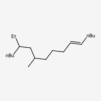 [CH2]CCCC=CCCCC(C)CC(CC)CCC[CH2]